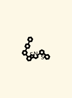 c1ccc(-c2ccc(-c3cccc(-c4cccc5c4sc4nc(-c6cccc7c6sc6ccccc67)ccc45)c3)cc2)cc1